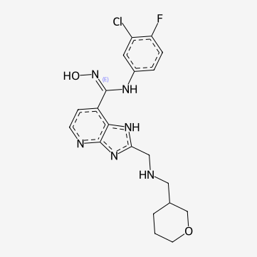 O/N=C(/Nc1ccc(F)c(Cl)c1)c1ccnc2nc(CNCC3CCCOC3)[nH]c12